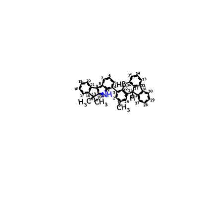 Cc1cc(-c2cccc3c4c([nH]c23)C(C)(C)c2ccccc2-4)c2c(c1)[C@H]1c3ccccc3-c3cccc(c31)B2